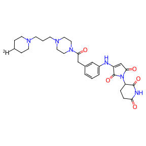 [2H]C1CCN(CCCN2CCN(C(=O)Cc3cccc(NC4=CC(=O)N(C5CCC(=O)NC5=O)C4=O)c3)CC2)CC1